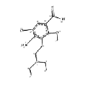 CCN(CC)CCc1c(N)c(Cl)cc(C(=O)O)c1OC